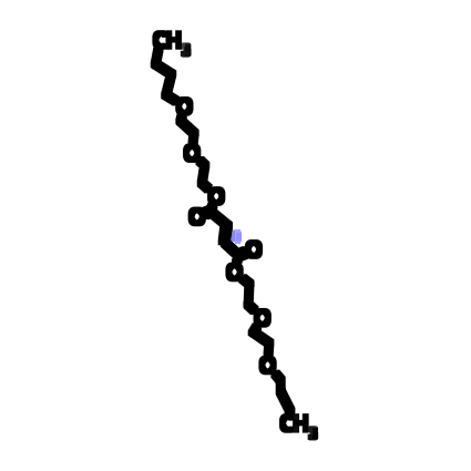 CCCCOCCOCCOC(=O)/C=C/C(=O)OCCOCCOCCCC